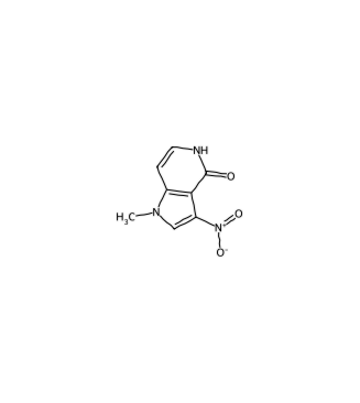 Cn1cc([N+](=O)[O-])c2c(=O)[nH]ccc21